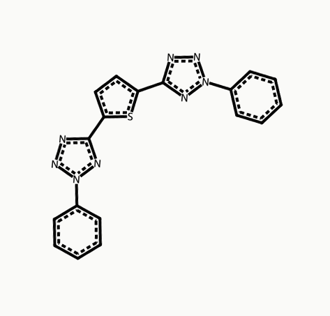 c1ccc(-n2nnc(-c3ccc(-c4nnn(-c5ccccc5)n4)s3)n2)cc1